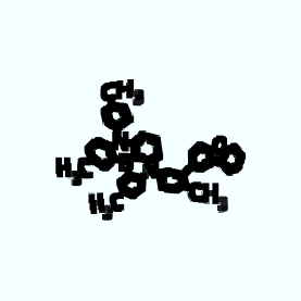 Cc1ccc(N2c3ccc(C)cc3B3c4cc(C)ccc4N(c4ccc(C)c(-c5ccc6oc7ccccc7c6c5)c4)c4cccc2c43)cc1